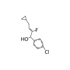 OC(C(F)=CCC1CC1)c1ccc(Cl)cc1